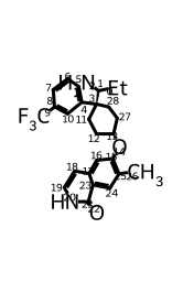 CCC(N)[C@]1(c2cccc(C(F)(F)F)c2)CC[C@H](Oc2cc3cc[nH]c(=O)c3cc2C)CC1